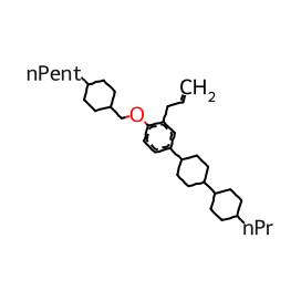 C=CCc1cc(C2CCC(C3CCC(CCC)CC3)CC2)ccc1OCC1CCC(CCCCC)CC1